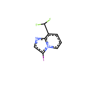 FC(F)c1cccn2c(I)cnc12